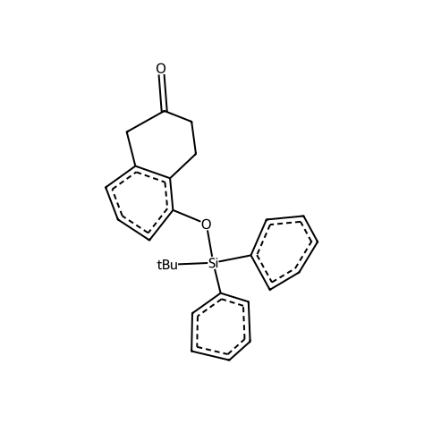 CC(C)(C)[Si](Oc1cccc2c1CCC(=O)C2)(c1ccccc1)c1ccccc1